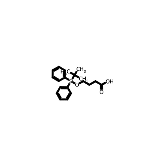 CC(C)(C)[Si](OCCCC(=O)O)(c1ccccc1)c1ccccc1